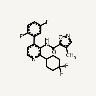 Cc1cnoc1C(=O)Nc1c(-c2cc(F)ccc2F)ccnc1C1CCC(F)(F)CC1